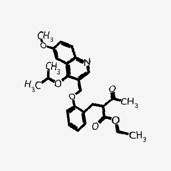 CCOC(=O)C(Cc1ccccc1OCc1cnc2ccc(OC)cc2c1OC(C)C)C(C)=O